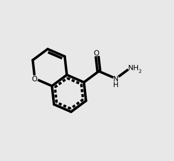 NNC(=O)c1cccc2c1C=CCO2